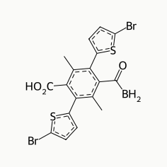 BC(=O)c1c(C)c(-c2ccc(Br)s2)c(C(=O)O)c(C)c1-c1ccc(Br)s1